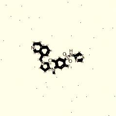 CN(c1cc(F)c(S(=O)(=O)Nc2cscn2)cc1Cl)[C@H]1CCN(Cc2cccc3ccncc23)C1